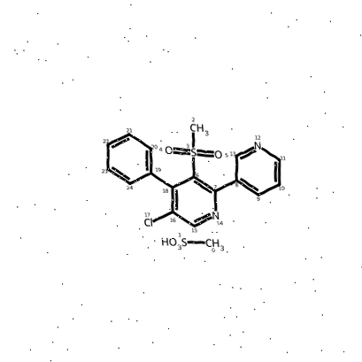 CS(=O)(=O)O.CS(=O)(=O)c1c(-c2cccnc2)ncc(Cl)c1-c1ccccc1